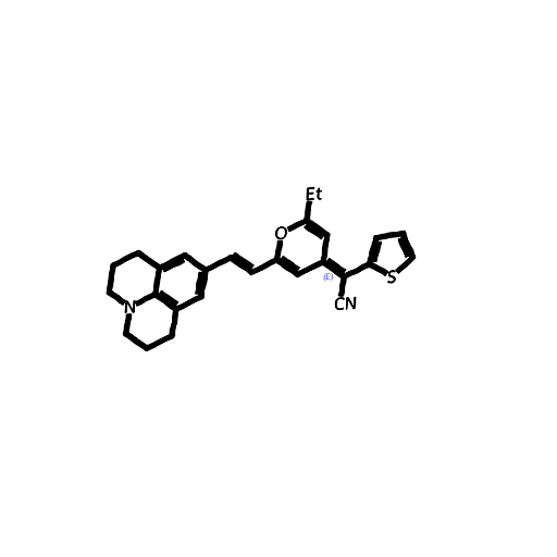 CCC1=C/C(=C(/C#N)c2cccs2)C=C(C=Cc2cc3c4c(c2)CCCN4CCC3)O1